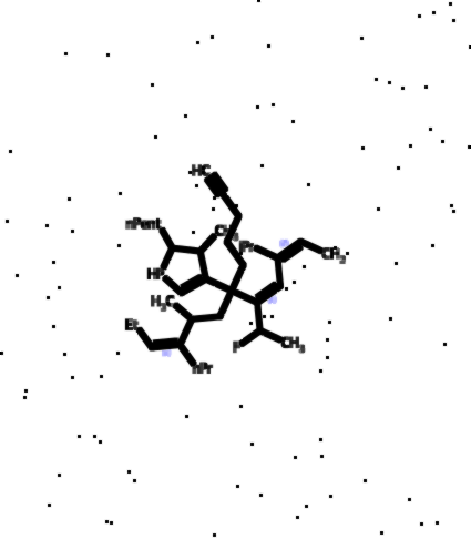 C#CCCCC(CC(C)/C(=C\CC)CCC)(C1=CPC(CCCCC)C1C)/C(=C\C(=C/C)C(C)C)C(C)F